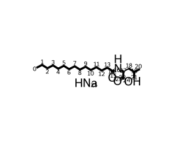 CCCCCCCCCCCCCCC(=O)N[C@@H](CC(C)C)C(=O)O.[NaH]